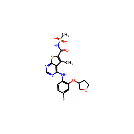 Cc1c(C(=O)NS(C)(=O)=O)sc2ncnc(Nc3ccc(F)cc3OC3CCOC3)c12